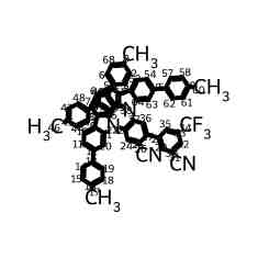 Cc1ccc(-c2ccc3c4ccc(-c5ccc(C)cc5)cc4n(-c4cc(C#N)c(-c5cc(C#N)cc(C(F)(F)F)c5)cc4-n4c5cc(-c6ccc(C)cc6)ccc5c5ccc(-c6ccc(C)cc6)cc54)c3c2)cc1